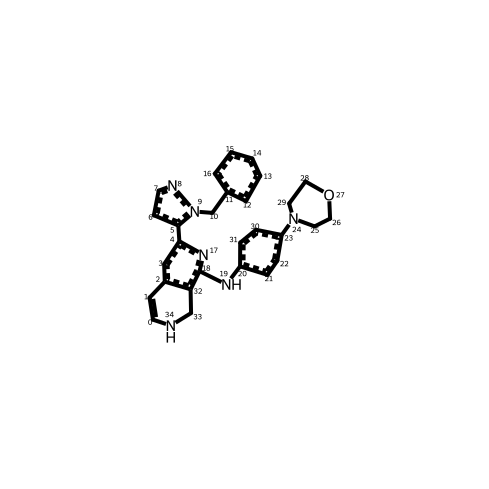 C1=Cc2cc(-c3ccnn3Cc3ccccc3)nc(Nc3ccc(N4CCOCC4)cc3)c2CN1